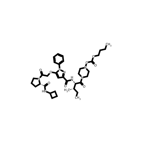 CCCCOC(=O)ON1CCN(C(=O)[C@@H](NC(=O)c2cc(OCC(=O)N3CCC[C@H]3C(=O)NC3CCC3)n(-c3ccccc3)n2)[C@@H](C)CC)CC1